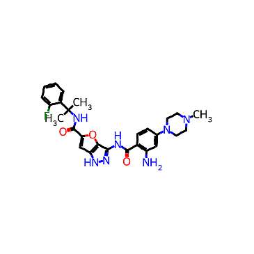 CN1CCN(c2ccc(C(=O)Nc3n[nH]c4cc(C(=O)NC(C)(C)c5ccccc5F)oc34)c(N)c2)CC1